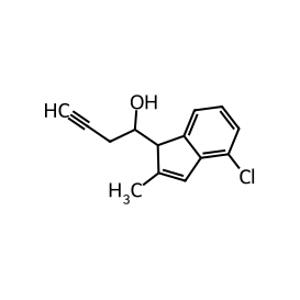 C#CCC(O)C1C(C)=Cc2c(Cl)cccc21